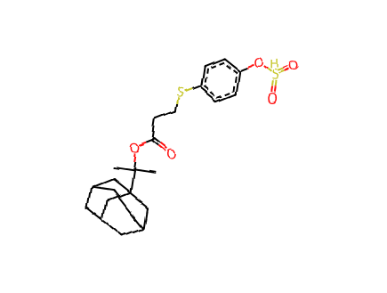 CC(C)(OC(=O)CCSc1ccc(O[SH](=O)=O)cc1)C12CC3CC(CC(C3)C1)C2